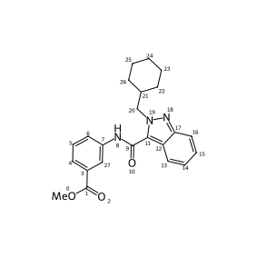 COC(=O)c1cccc(NC(=O)c2c3ccccc3nn2CC2CCCCC2)c1